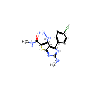 CNC(=O)c1sc2nc(NC)nc(-c3ccc(Cl)cc3)c2c1NN